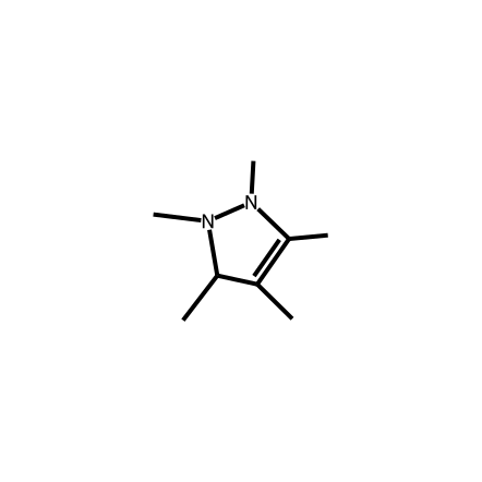 CC1=C(C)N(C)N(C)C1C